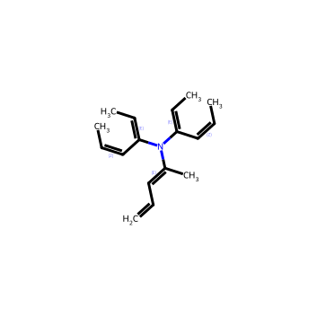 C=C/C=C(\C)N(C(/C=C\C)=C/C)C(/C=C\C)=C/C